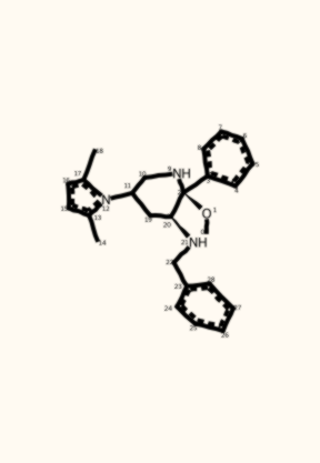 CO[C@]1(c2ccccc2)NCC(n2c(C)ccc2C)C[C@@H]1NCc1ccccc1